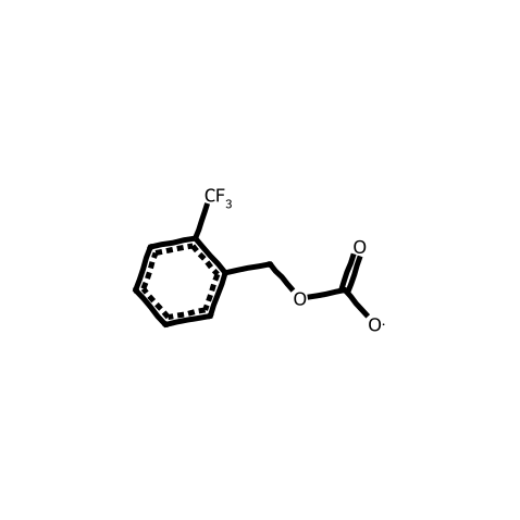 [O]C(=O)OCc1ccccc1C(F)(F)F